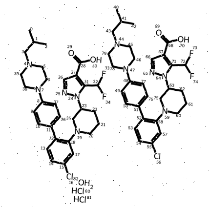 CC(C)CN1CCN(c2ccc(-c3ccc(Cl)cc3N3CCCC(n4ncc(C(=O)O)c4C(F)F)C3)cc2)CC1.CC(C)CN1CCN(c2ccc(-c3ccc(Cl)cc3N3CCCC(n4ncc(C(=O)O)c4C(F)F)C3)cc2)CC1.Cl.Cl.O